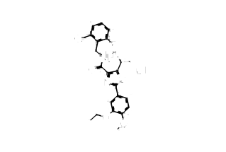 CCOc1cc(-c2nc(C(=O)NCc3c(F)cccc3Cl)c([C@H](C)N)o2)ccc1OC.Cl